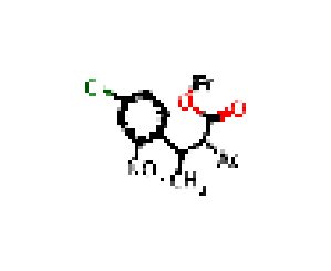 CC(=O)C(C(=O)OC(C)C)C(C)c1ccc(Cl)cc1[N+](=O)[O-]